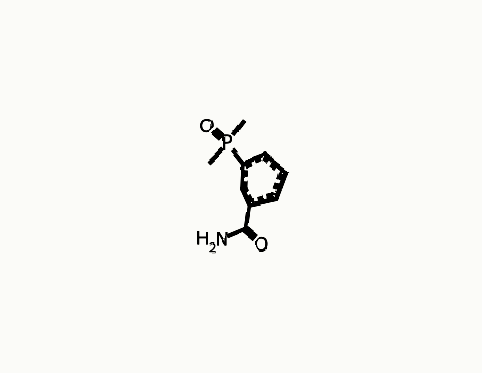 CP(C)(=O)c1cccc(C(N)=O)c1